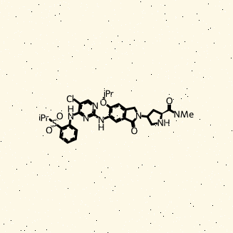 CNC(=O)[C@@H]1CC(N2Cc3cc(OC(C)C)c(Nc4ncc(Cl)c(Nc5ccccc5S(=O)(=O)C(C)C)n4)cc3C2=O)CN1